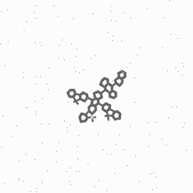 CC1(C)c2ccccc2-c2ccc(-c3c4ccc(-c5c6ccccc6c(-c6ccc7ccccc7c6)c6ccccc56)cc4c(-c4ccc5c(c4)C(C)(C)c4ccccc4-5)c4cc5c(cc34)-c3ccccc3S5(C)C)cc21